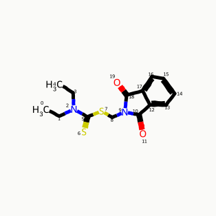 CCN(CC)C(=S)SCN1C(=O)c2ccccc2C1=O